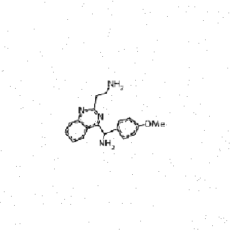 COc1ccc(C(N)c2nc(CCN)nc3ccccc23)cc1